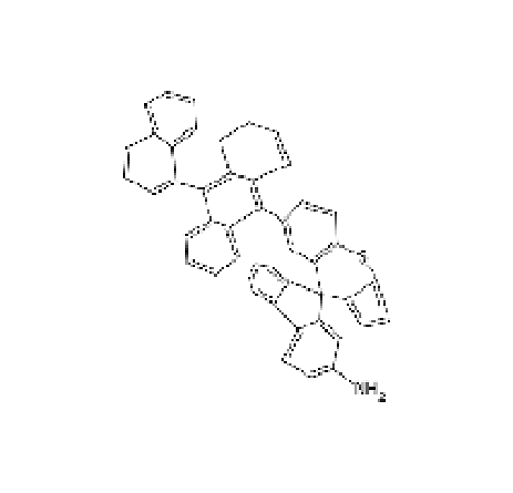 Nc1ccc2c(c1)C1(c3ccccc3Sc3ccc(-c4c5c(c(-c6cccc7ccccc67)c6ccccc46)CCC=C5)cc31)c1ccccc1-2